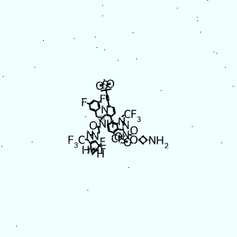 CC(C)(C#Cc1ccc(-c2ccc(Cl)c3c(N(C(=O)O[C@H]4C[C@@H](N)C4)S(C)(=O)=O)nn(CC(F)(F)F)c23)c([C@H](Cc2cc(F)cc(F)c2)NC(=O)Cn2nc(C(F)(F)F)c3c2C(F)(F)[C@@H]2C[C@H]32)n1)S(C)(=O)=O